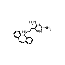 Nc1ncc(CCNC2c3ccccc3C=Cc3ccccc32)c(N)n1